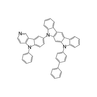 c1ccc(-c2ccc(-n3c4ccccc4c4cc5c6ccccc6n(-c6ccc7c(c6)c6cnccc6n7-c6ccccc6)c5cc43)cc2)cc1